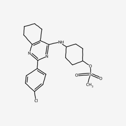 CS(=O)(=O)OC1CCC(Nc2nc(-c3ccc(Cl)cc3)nc3c2CCCC3)CC1